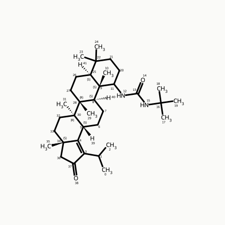 CC(C)C1=C2[C@H]3CC[C@@H]4[C@@]5(C)C(NC(=O)NC(C)(C)C)CCC(C)(C)[C@@H]5CC[C@@]4(C)[C@]3(C)CC[C@@]2(C)CC1=O